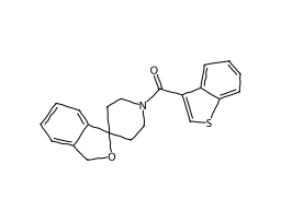 O=C(c1csc2ccccc12)N1CCC2(CC1)OCc1ccccc12